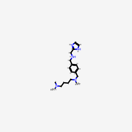 CCCN(C)CCCCN(CCC)Cc1ccc(CNCc2ncc[nH]2)cc1